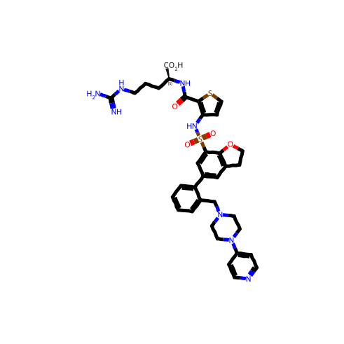 N=C(N)NCCC[C@H](NC(=O)c1sccc1NS(=O)(=O)c1cc(-c2ccccc2CN2CCN(c3ccncc3)CC2)cc2c1OCC2)C(=O)O